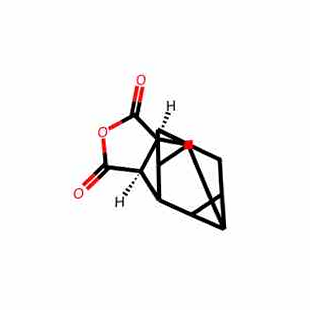 O=C1OC(=O)[C@H]2C3C4C5CC6C(C63)C(C54)[C@@H]12